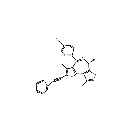 Cc1noc2c1-c1sc(C#Cc3ccncc3)c(C)c1C(c1ccc(Cl)cc1)=N[C@H]2C